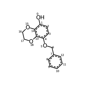 Oc1ccc(OCc2ccccc2)c2c1OCCO2